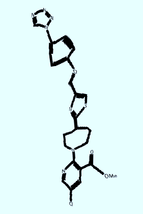 COC(=O)c1cc(Cl)cnc1N1CCC(c2nc(COc3ccc(-n4cnnn4)cc3)cs2)CC1